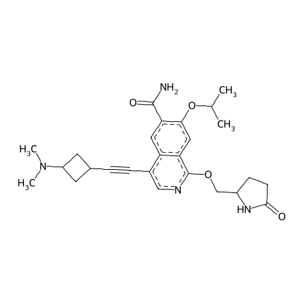 CC(C)Oc1cc2c(OCC3CCC(=O)N3)ncc(C#CC3CC(N(C)C)C3)c2cc1C(N)=O